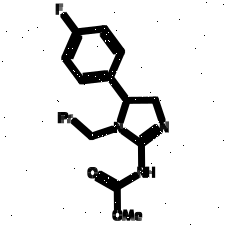 COC(=O)NC1=NCC(c2ccc(F)cc2)N1CC(C)C